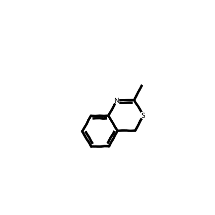 CC1=Nc2ccccc2CS1